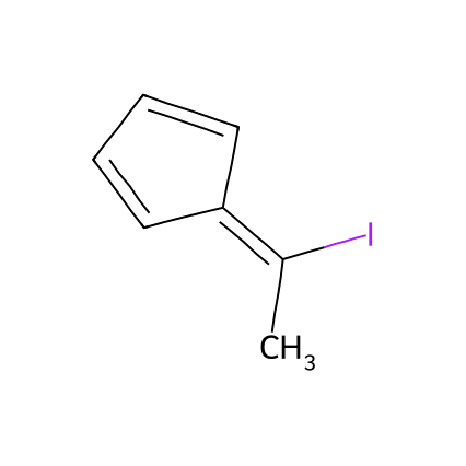 CC(I)=C1C=CC=C1